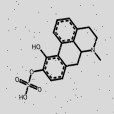 CN1CCc2cccc3c2C1Cc1ccc(OS(=O)(=O)O)c(O)c1-3